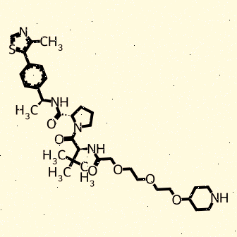 Cc1ncsc1-c1ccc([C@H](C)NC(=O)[C@@H]2CCCN2C(=O)[C@@H](NC(=O)COCCOCCOC2CCNCC2)C(C)(C)C)cc1